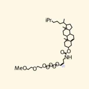 COCCOCCOOOOO/C=C\CNC(=O)OC1CC[C@@]2(C)C(=CCC3C4CCC(C(C)CCCC(C)C)[C@@]4(C)CCC32)C1